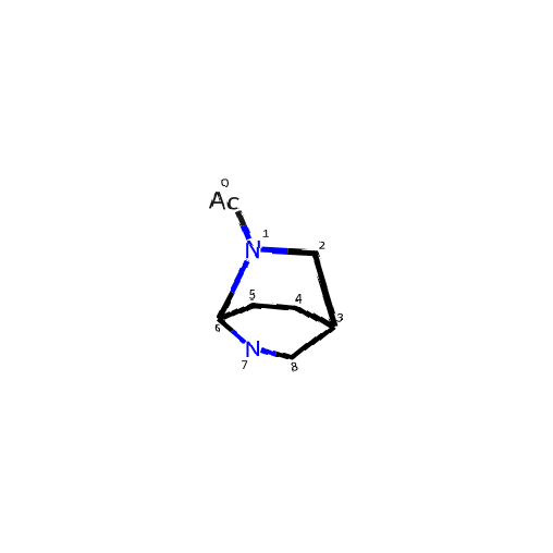 CC(=O)N1CC2CCC1[N]C2